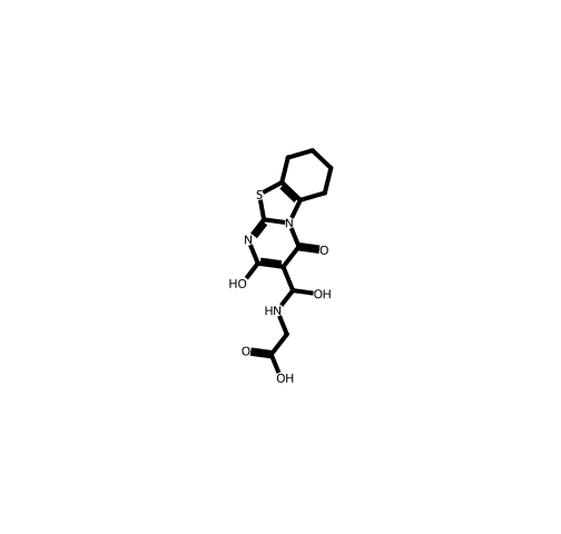 O=C(O)CNC(O)c1c(O)nc2sc3c(n2c1=O)CCCC3